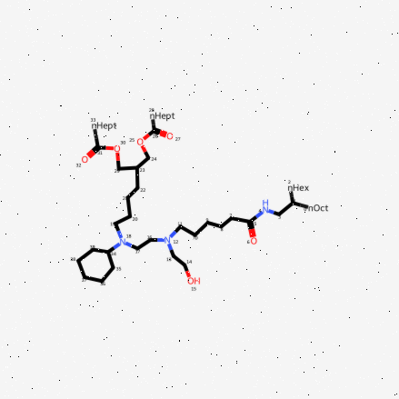 CCCCCCCCC(CCCCCC)CNC(=O)CCCCCN(CCO)CCN(CCCCC(COC(=O)CCCCCCC)COC(=O)CCCCCCC)C1CCCCC1